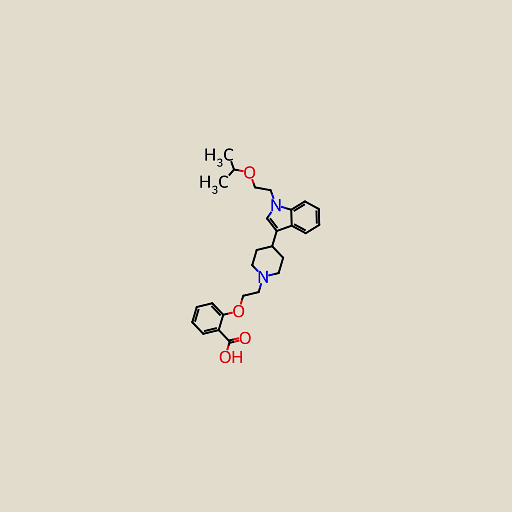 CC(C)OCCn1cc(C2CCN(CCOc3ccccc3C(=O)O)CC2)c2ccccc21